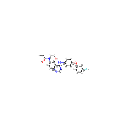 C=CC(=O)N1CCOc2c1ccc1ncnc(Nc3ccc(Oc4cccc(F)c4)cc3)c21